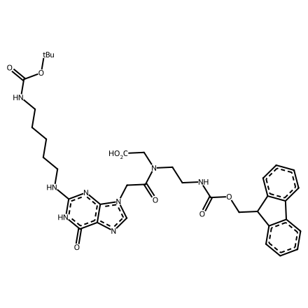 CC(C)(C)OC(=O)NCCCCCNc1nc2c(ncn2CC(=O)N(CCNC(=O)OCC2c3ccccc3-c3ccccc32)CC(=O)O)c(=O)[nH]1